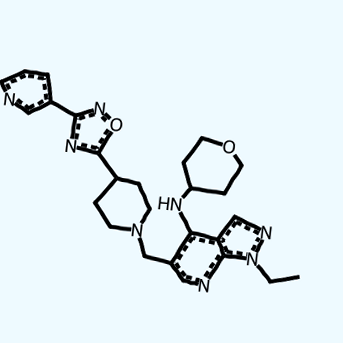 CCn1ncc2c(NC3CCOCC3)c(CN3CCC(c4nc(-c5cccnc5)no4)CC3)cnc21